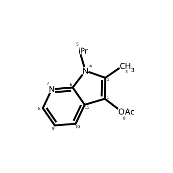 CC(=O)Oc1c(C)n(C(C)C)c2ncccc12